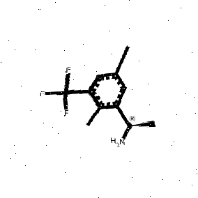 Cc1cc([C@@H](C)N)c(C)c(C(F)(F)F)c1